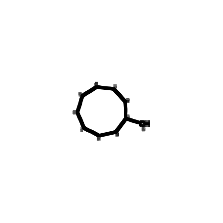 OC1[CH]CCCCCCC1